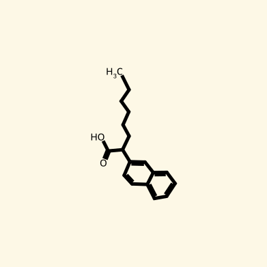 CCCCCCC(C(=O)O)c1ccc2ccccc2c1